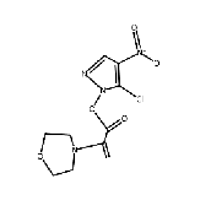 C=C(C(=O)On1ncc([N+](=O)[O-])c1Cl)N1CCOCC1